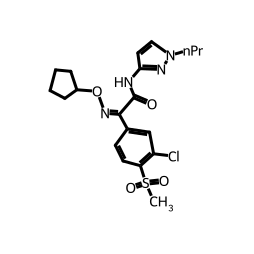 CCCn1ccc(NC(=O)C(=NOC2CCCC2)c2ccc(S(C)(=O)=O)c(Cl)c2)n1